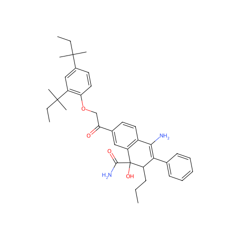 CCCC1C(c2ccccc2)=C(N)c2ccc(C(=O)COc3ccc(C(C)(C)CC)cc3C(C)(C)CC)cc2C1(O)C(N)=O